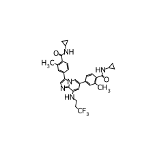 Cc1cc(-c2cc(NCCC(F)(F)F)c3ncc(-c4ccc(C(=O)NC5CC5)c(C)c4)n3c2)ccc1C(=O)NC1CC1